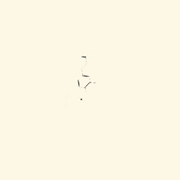 CC(C)(C)Oc1ccc(CCC(=O)O)cc1F